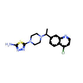 CC(c1ccc2c(Cl)ccnc2c1)N1CCN(c2nnc(N)s2)CC1